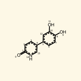 O=c1ccc(-c2ccc(O)c(O)c2)c[nH]1